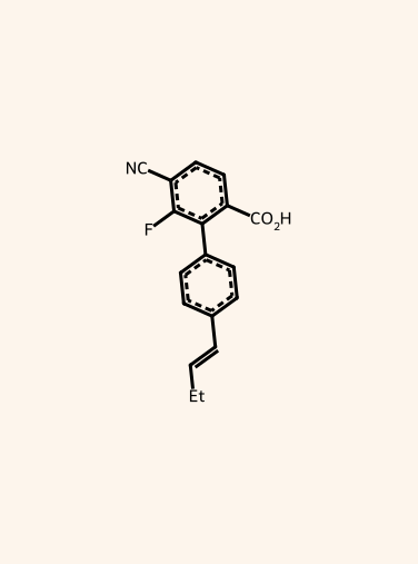 CC/C=C/c1ccc(-c2c(C(=O)O)ccc(C#N)c2F)cc1